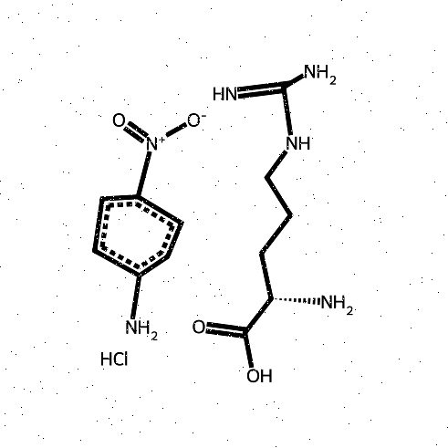 Cl.N=C(N)NCCC[C@H](N)C(=O)O.Nc1ccc([N+](=O)[O-])cc1